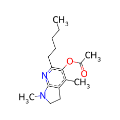 CCCCCc1nc2c(c(C)c1OC(C)=O)CCN2C